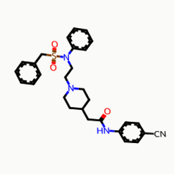 N#Cc1ccc(NC(=O)CC2CCN(CCN(c3ccccc3)S(=O)(=O)Cc3ccccc3)CC2)cc1